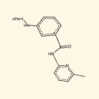 CCCCCNc1cccc(C(=O)Nc2cccc(C)n2)c1